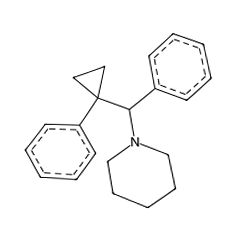 c1ccc(C(N2CCCCC2)C2(c3ccccc3)CC2)cc1